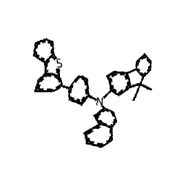 CC1(C)c2ccccc2-c2ccc(N(c3ccc(-c4cccc5c4sc4ccccc45)cc3)c3ccc4ccccc4c3)cc21